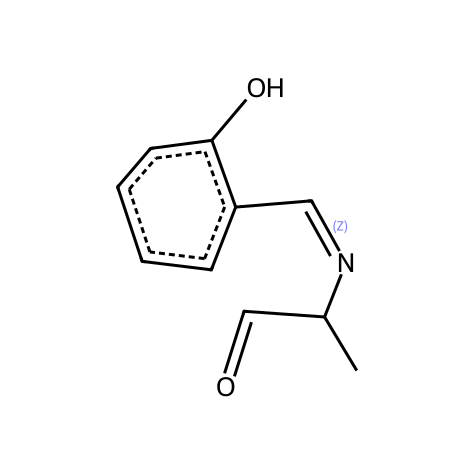 CC(C=O)/N=C\c1ccccc1O